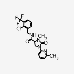 Cc1cccc(N2CC(C(=O)NCc3cccc(C(F)(F)F)c3Cl)N(C)C2=O)n1